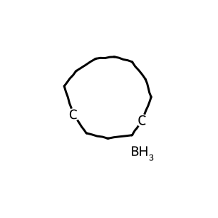 B.C1CCCCCCCCCCC1